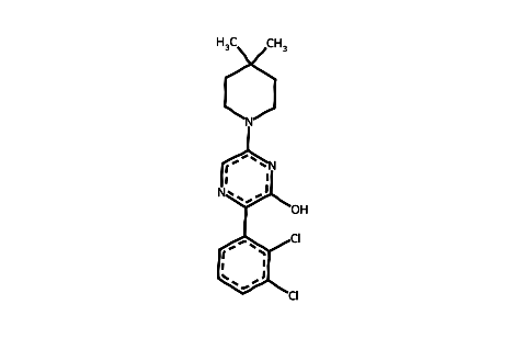 CC1(C)CCN(c2cnc(-c3cccc(Cl)c3Cl)c(O)n2)CC1